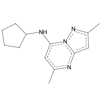 Cc1cc(NC2CCCC2)n2nc(C)cc2n1